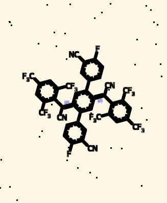 N#C/C(c1c(C(F)(F)F)cc(C(F)(F)F)cc1C(F)(F)F)=c1/cc(-c2ccc(F)c(C#N)c2)/c(=C(\C#N)c2c(C(F)(F)F)cc(C(F)(F)F)cc2C(F)(F)F)cc1-c1ccc(F)c(C#N)c1